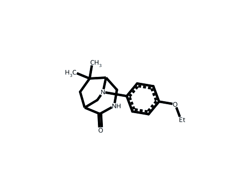 CCOc1ccc(N2CC3CC(C)(C)C2CNC3=O)cc1